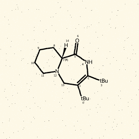 CC(C)(C)C1=C(C(C)(C)C)NC(=O)[C@H]2CCCCN2C1